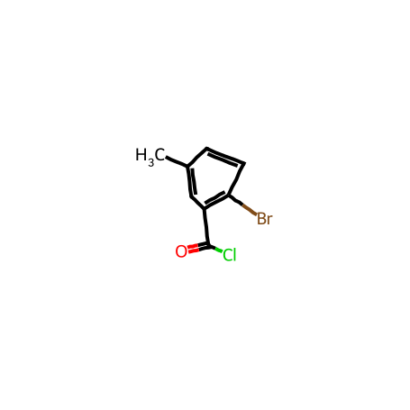 Cc1ccc(Br)c(C(=O)Cl)c1